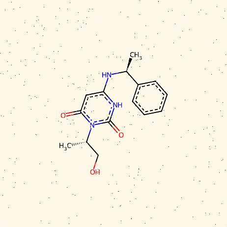 C[C@H](Nc1cc(=O)n([C@@H](C)CO)c(=O)[nH]1)c1ccccc1